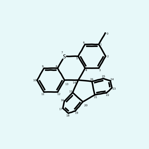 Cc1ccc2c(c1)Sc1ccccc1C21c2ccccc2-c2ccccc21